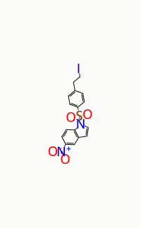 O=[N+]([O-])c1ccc2c(ccn2S(=O)(=O)c2ccc(CCI)cc2)c1